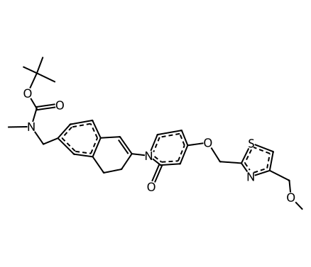 COCc1csc(COc2ccn(C3=Cc4ccc(CN(C)C(=O)OC(C)(C)C)cc4CC3)c(=O)c2)n1